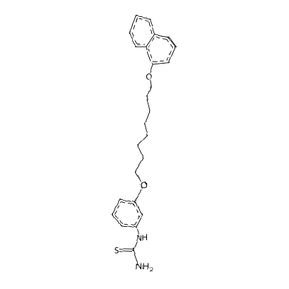 NC(=S)Nc1cccc(OCCCCCCCCOc2cccc3ccccc23)c1